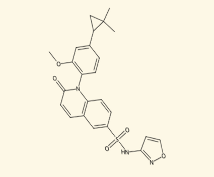 COc1cc(C2CC2(C)C)ccc1-n1c(=O)ccc2cc(S(=O)(=O)Nc3ccon3)ccc21